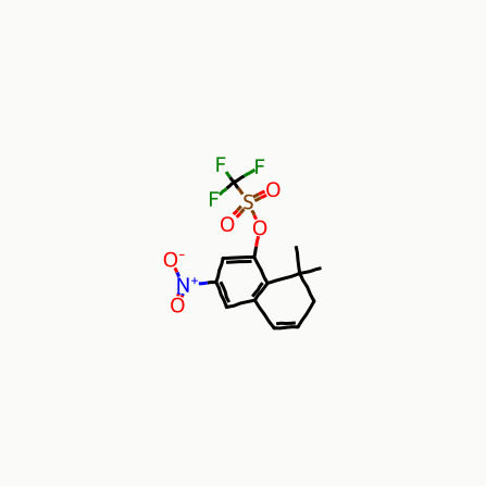 CC1(C)CC=Cc2cc([N+](=O)[O-])cc(OS(=O)(=O)C(F)(F)F)c21